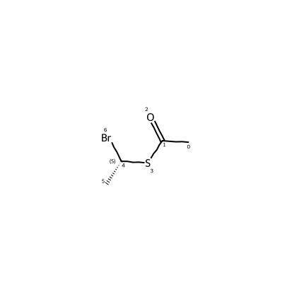 CC(=O)S[C@H](C)Br